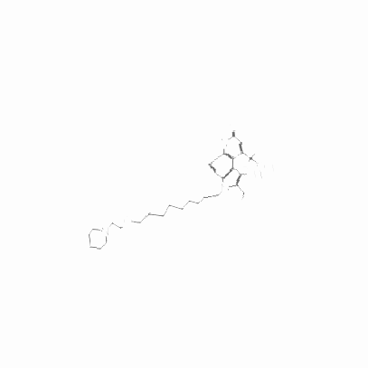 CCc1c(C)c2c3c(C(O)(F)F)cc(=O)[nH]c3ccc2n1CCCCCCCCCOCCN1CCCCC1